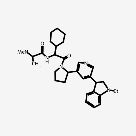 CCN1CC(c2cncc(C3CCCN3C(=O)C(NC(=O)C(C)NC)C3CCCCC3)c2)c2ccccc21